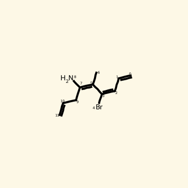 C=C/C=C(Br)\C(C)=C(\N)CC=C